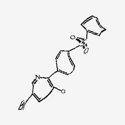 O=S(=O)(c1ccccc1)c1ccc(-c2ncc(Br)cc2Cl)cc1